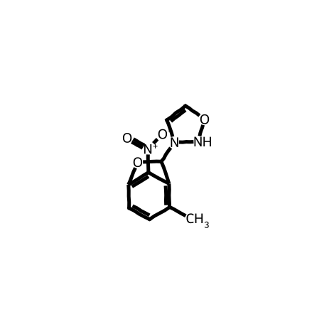 Cc1ccc2c([N+](=O)[O-])c1C(N1C=CON1)O2